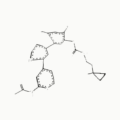 CC(=O)Nc1cc(-c2cc(-c3cc(NC(=O)NCCC4(C)CC4)c(F)cc3C)ccn2)ccn1